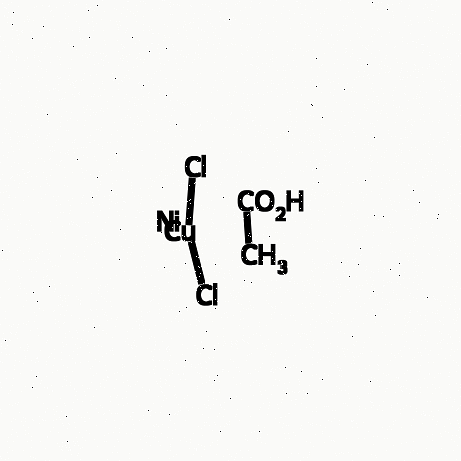 CC(=O)O.[Cl][Cu][Cl].[Ni]